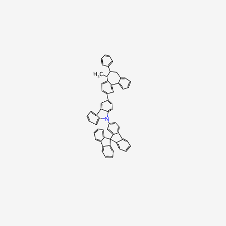 CC1c2ccc(-c3ccc4c(c3)c3ccccc3n4-c3ccc4c(c3)C3(c5ccccc5-c5ccccc53)c3ccccc3-4)cc2-c2ccccc2CC1c1ccccc1